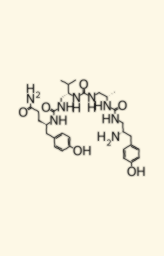 CC(C)[C@@H](CNC(=O)N[C@H](CCC(N)=O)Cc1ccc(O)cc1)NC(=O)NC[C@H](C)NC(=O)NC[C@@H](N)Cc1ccc(O)cc1